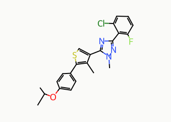 Cc1c(-c2nc(-c3c(F)cccc3Cl)nn2C)csc1-c1ccc(OC(C)C)cc1